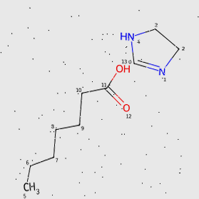 C1=NCCN1.CCCCCCC(=O)O